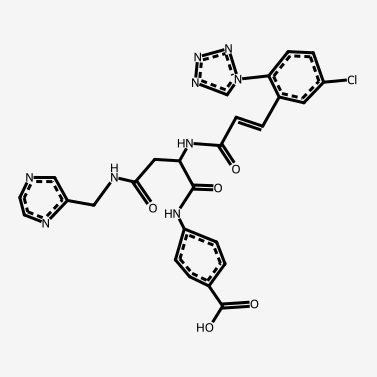 O=C(C=Cc1cc(Cl)ccc1-n1cnnn1)NC(CC(=O)NCc1cnccn1)C(=O)Nc1ccc(C(=O)O)cc1